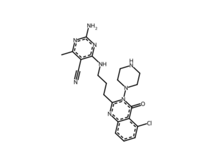 Cc1nc(N)nc(NCCCc2nc3cccc(Cl)c3c(=O)n2N2CCNCC2)c1C#N